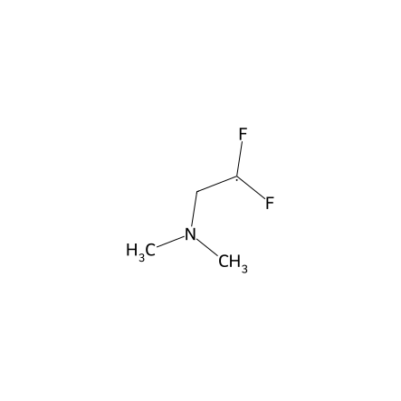 CN(C)C[C](F)F